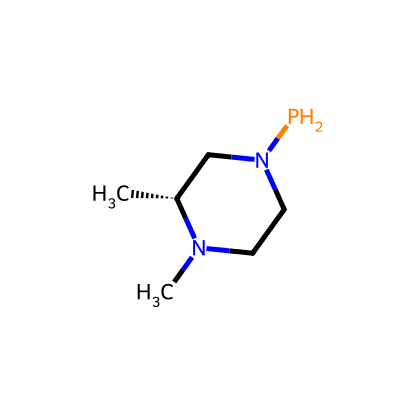 C[C@@H]1CN(P)CCN1C